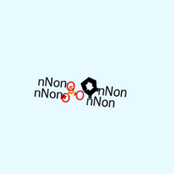 CCCCCCCCCOP(OCCCCCCCCC)Oc1cccc(CCCCCCCCC)c1CCCCCCCCC